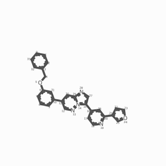 c1ccc(COc2cccc(-c3cnn4c(-c5ccnc(-c6ccoc6)c5)cnc4c3)c2)cc1